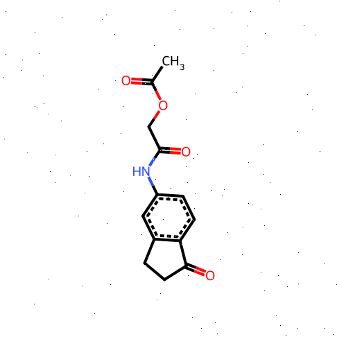 CC(=O)OCC(=O)Nc1ccc2c(c1)CCC2=O